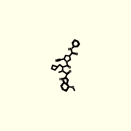 COc1cccc2[nH]c(C(=O)N(C)C(CC3CCC3)C(=O)N3CC(C(=O)Nc4ccccc4)CC3C#N)cc12